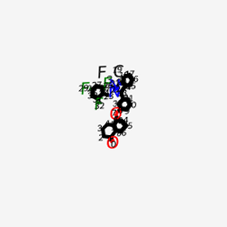 O=C1CCCc2c(Oc3cccc(-c4c5cccc(C(F)(F)F)c5nn4Cc4c(F)cc(F)cc4F)c3)cccc21